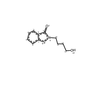 O=c1c2ccccc2sn1CCCCO